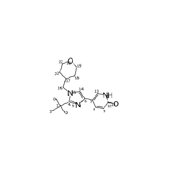 CC(C)(C)c1nc(-c2ccc(=O)[nH]c2)cn1CC1CCOCC1